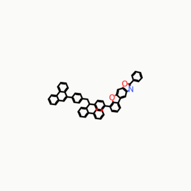 c1ccc(-c2nc3cc4c(cc3o2)oc2c(-c3ccc(C(Cc5ccc(-c6cc7ccccc7c7ccccc67)cc5)c5ccccc5-c5ccccc5)cc3)cccc24)cc1